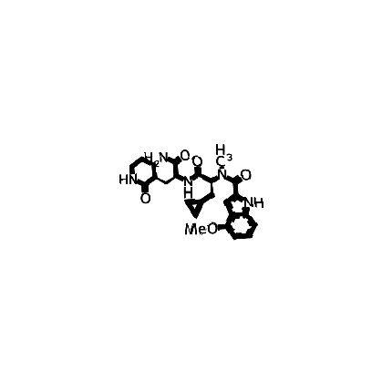 COc1cccc2[nH]c(C(=O)N(C)[C@@H](CC3CC3)C(=O)N[C@@H](C[C@@H]3CCCNC3=O)C(N)=O)cc12